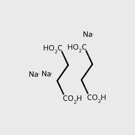 O=C(O)CCC(=O)O.O=C(O)CCC(=O)O.[Na].[Na].[Na]